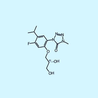 CC(C)c1cc(-n2nnn(C)c2=O)c(OC[C@H](O)CO)cc1F